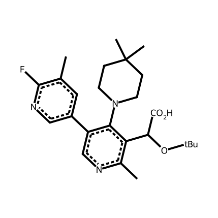 Cc1cc(-c2cnc(C)c(C(OC(C)(C)C)C(=O)O)c2N2CCC(C)(C)CC2)cnc1F